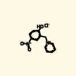 O=[N+]([O-])c1ccc(O)c(C[n+]2ccccc2)c1.[Cl-]